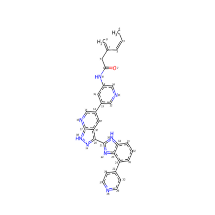 C=C(/C=C\C)CC(=O)Nc1cncc(-c2cnc3[nH]nc(-c4nc5c(-c6ccncc6)cccc5[nH]4)c3c2)c1